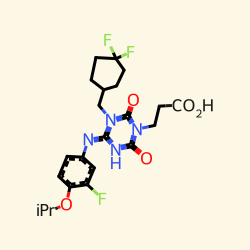 CC(C)Oc1ccc(/N=c2\[nH]c(=O)n(CCC(=O)O)c(=O)n2CC2CCC(F)(F)CC2)cc1F